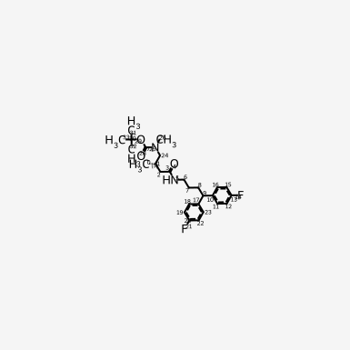 C[C@@H](CC(=O)NCCCC(c1ccc(F)cc1)c1ccc(F)cc1)CN(C)C(=O)OC(C)(C)C